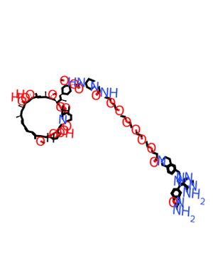 CO[C@H]1C[C@@H]2CC[C@@H](C)[C@@](O)(O2)C(=O)C(=O)N2CCCC[C@H]2C(=O)O[C@H]([C@H](C)C[C@@H]2CC[C@@H](OC(=O)NC3CCN(CC(=O)NCCOCCOCCOCCOCCOCCOCCC(=O)N4CCc5cc(Cn6nc(-c7ccc8oc(N)nc8c7)c7c(N)ncnc76)ccc5C4)CC3)[C@H](OC)C2)C[C@@H](OC)[C@H](C)/C=C(\C)[C@@H](O)[C@@H](O)C(=O)[C@H](C)C[C@H](C)/C=C/C=C/C=C/1C